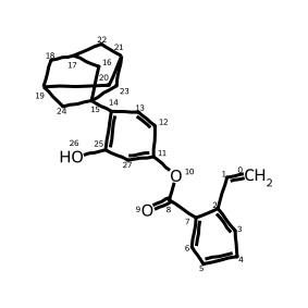 C=Cc1ccccc1C(=O)Oc1ccc(C23CC4CC(CC(C4)C2)C3)c(O)c1